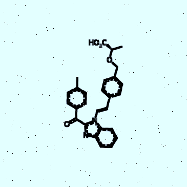 Cc1ccc(C(=O)c2nc3ccccc3n2/C=C/c2ccc(CO[C@H](C)C(=O)O)cc2)cc1